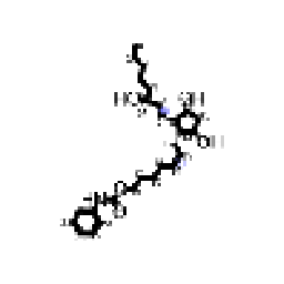 CCCCC[C@](C)(O)/C=C/[C@@H]1[C@@H](C/C=C\CCCCOC(=O)Nc2ccccc2)[C@@H](O)C[C@H]1O